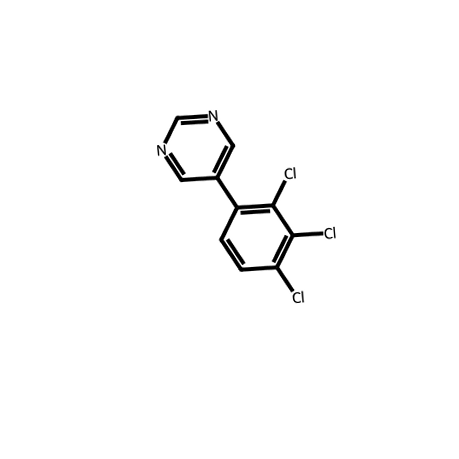 Clc1ccc(-c2cncnc2)c(Cl)c1Cl